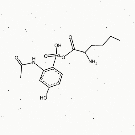 CCCCC(N)C(=O)O[As](=O)(O)c1ccc(O)cc1NC(C)=O